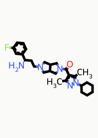 Cc1nn(C2CCCCC2)c(C)c1C(=O)N1CC2CN(CC[C@H](N)c3cccc(F)c3)CC2C1